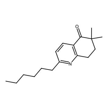 CCCCCCc1ccc2c(n1)CCC(C)(C)C2=O